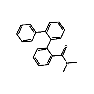 CN(C)C(=O)c1ccccc1-c1ccccc1-c1ccccc1